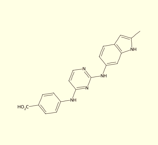 Cc1cc2ccc(Nc3nccc(Nc4ccc(C(=O)O)cc4)n3)cc2[nH]1